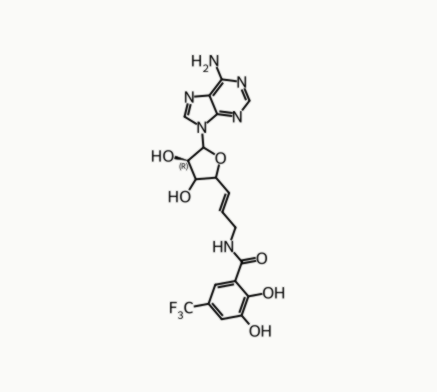 Nc1ncnc2c1ncn2C1OC(C=CCNC(=O)c2cc(C(F)(F)F)cc(O)c2O)C(O)[C@H]1O